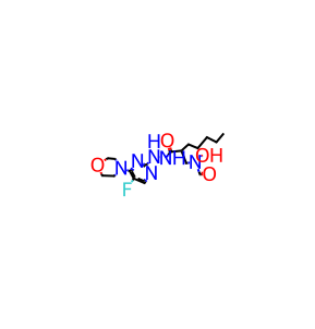 CCCCCC(CN(O)C=O)C(=O)NNc1ncc(F)c(N2CCOCC2)n1